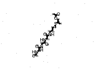 CC(=O)OCC(C)SSCCCNC(=O)CNC(=O)CNC(=O)CNC=O